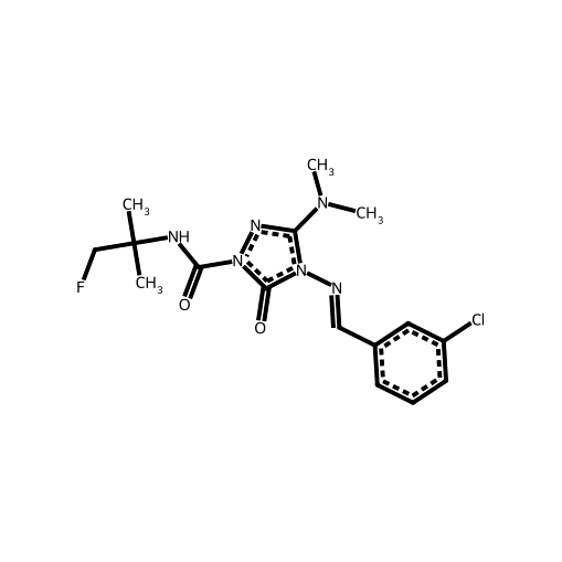 CN(C)c1nn(C(=O)NC(C)(C)CF)c(=O)n1N=Cc1cccc(Cl)c1